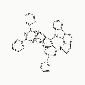 c1ccc(-c2cc(-c3ccccc3)cc(-n3ccc4ccc5c6ccccc6n(-c6cccc(-c7nc(-c8ccccc8)nc(-c8ccccc8)n7)c6)c5c43)c2)cc1